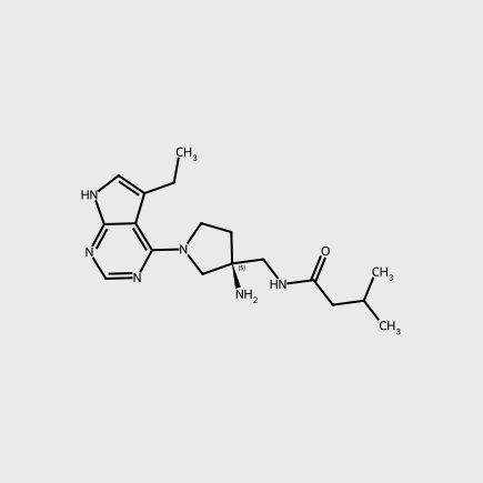 CCc1c[nH]c2ncnc(N3CC[C@](N)(CNC(=O)CC(C)C)C3)c12